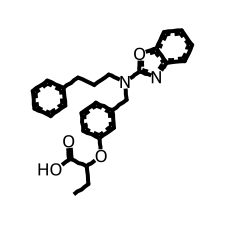 CCC(Oc1cccc(CN(CCCc2ccccc2)c2nc3ccccc3o2)c1)C(=O)O